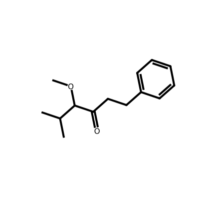 COC(C(=O)CCc1ccccc1)C(C)C